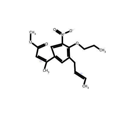 C/C=C/Cc1cc(/C(C)=C\C(=O)OC)cc([N+](=O)[O-])c1OCCC